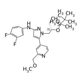 CC[C@@H](Cn1nc(Nc2ccc(F)c(F)c2)cc1-c1ccnc(COC)c1)O[Si](C)(C)C(C)(C)C